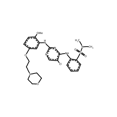 COc1ccc(OCCN2CCOCC2)cc1Nc1ncc(Cl)c(Nc2ccccc2S(=O)(=O)N(C)C)n1